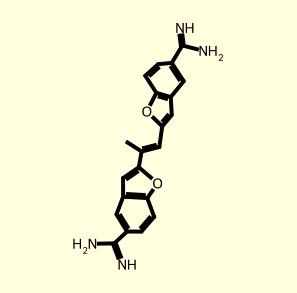 C/C(=C\c1cc2cc(C(=N)N)ccc2o1)c1cc2cc(C(=N)N)ccc2o1